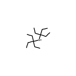 CCC(CC)(CC)NC(CC)(CC)CC